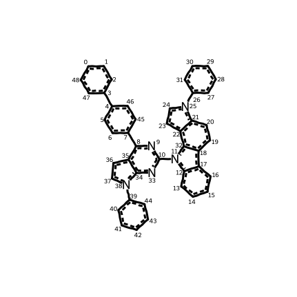 c1ccc(-c2ccc(-c3nc(-n4c5ccccc5c5ccc6c(ccn6-c6ccccc6)c54)nc4c3ccn4-c3ccccc3)cc2)cc1